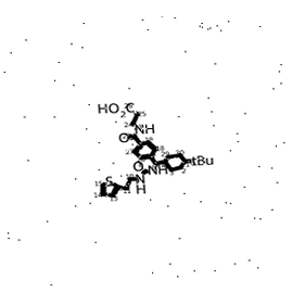 CC(C)(C)C1CCC(C(NC(=O)NCCc2cccs2)c2ccc(C(=O)NCCC(=O)O)cc2)CC1